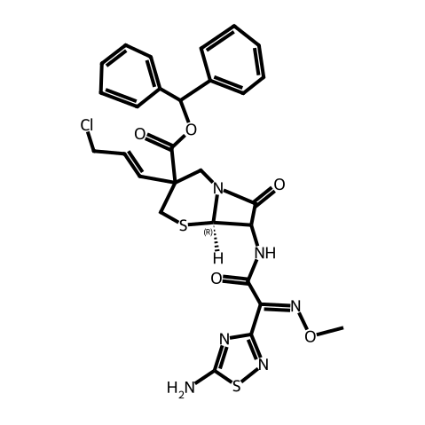 CON=C(C(=O)NC1C(=O)N2CC(C=CCCl)(C(=O)OC(c3ccccc3)c3ccccc3)CS[C@H]12)c1nsc(N)n1